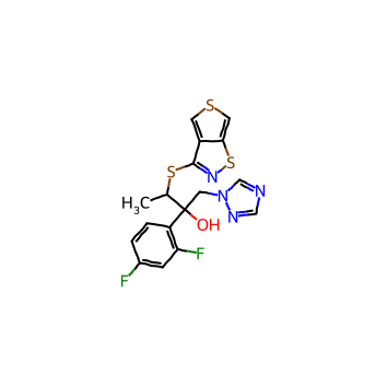 CC(Sc1nsc2cscc12)C(O)(Cn1cncn1)c1ccc(F)cc1F